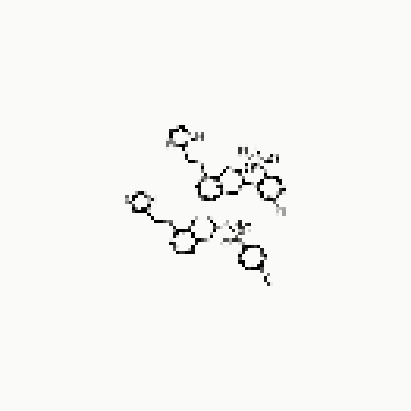 NS(=O)(=O)c1ccc(Cl)cc1C1CCc2c(CCc3ncc[nH]3)cccc2C1.O=S(=O)(NC1CCc2c(CCc3cocn3)cccc2C1)c1ccc(Cl)cc1